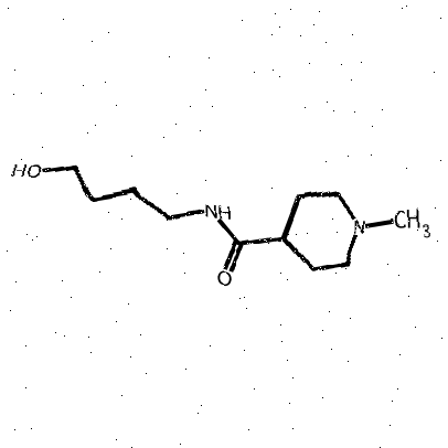 CN1CCC(C(=O)NCCCCO)CC1